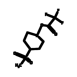 CS(=O)(=O)C1CCN(OC(=O)C(F)(F)F)CC1